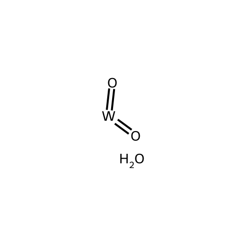 O.[O]=[W]=[O]